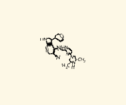 C[C@@H]1CN(c2ccnc(CNc3c(C#N)cnc4[nH]cc(C5=CCOCC5)c34)n2)C[C@H](C)N1